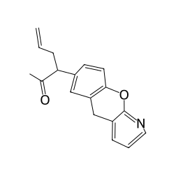 C=CCC(C(C)=O)c1ccc2c(c1)Cc1cccnc1O2